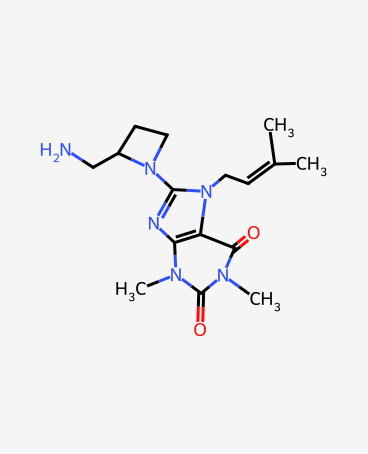 CC(C)=CCn1c(N2CCC2CN)nc2c1c(=O)n(C)c(=O)n2C